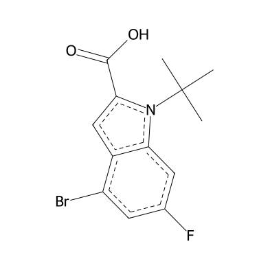 CC(C)(C)n1c(C(=O)O)cc2c(Br)cc(F)cc21